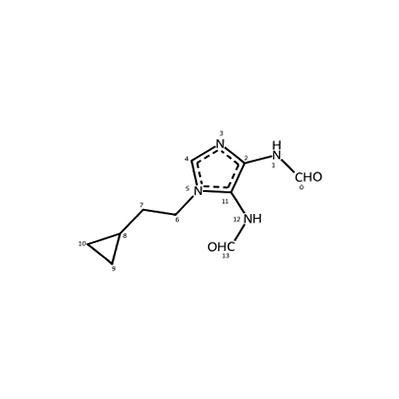 O=CNc1ncn(CCC2CC2)c1NC=O